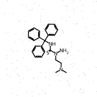 CN(C)CCN(N)C(=S)NC(c1ccccc1)(c1ccccc1)c1ccccc1